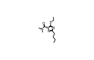 CCCCc1nc(SCC)n(C(=O)N(C)C)n1